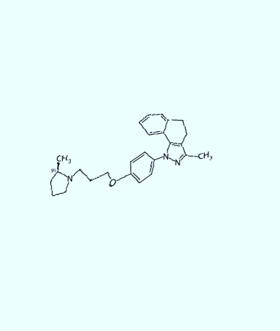 Cc1nn(-c2ccc(OCCCN3CCC[C@H]3C)cc2)c2c1CCc1ccccc1-2